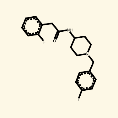 O=C(Cc1ccccc1F)NC1CCN(Cc2ccc(I)cc2)CC1